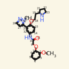 COc1ccccc1OCC(=O)Nc1ccc(OCCC2CCCN2)c(-c2ccnn2C)c1